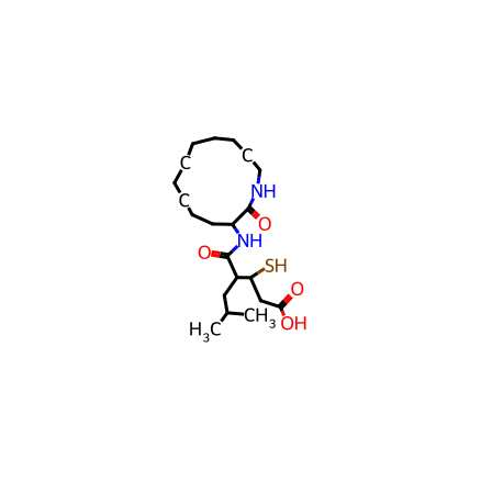 CC(C)CC(C(=O)NC1CCCCCCCCCCNC1=O)C(S)CC(=O)O